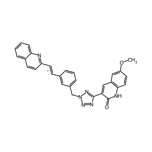 COc1ccc2[nH]c(=O)c(-c3nnn(Cc4cccc(/C=C/c5ccc6ccccc6n5)c4)n3)cc2c1